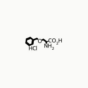 Cl.N[C@@H](COCc1ccccc1)C(=O)O